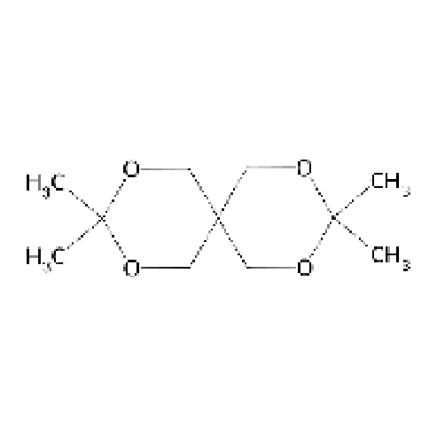 CC1(C)OCC2(CO1)COC(C)(C)OC2